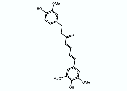 COc1cc(CCC(=O)C=CC=Cc2cc(OC)c(O)c(OC)c2)ccc1O